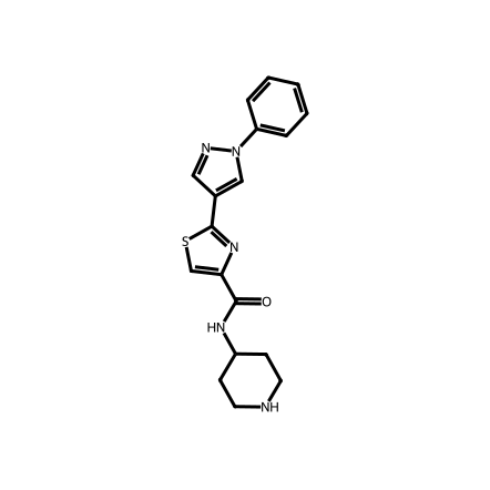 O=C(NC1CCNCC1)c1csc(-c2cnn(-c3ccccc3)c2)n1